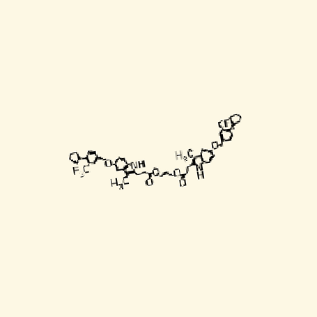 Cc1c(CCC(=O)OCCCOC(=O)CCc2[nH]c3ccc(OCc4ccc(C5CCCC5)c(C(F)(F)F)c4)cc3c2C)[nH]c2ccc(OCc3ccc(C4CCCC4)c(C(F)(F)F)c3)cc12